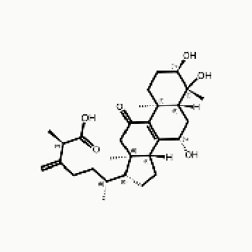 C=C(CC[C@@H](C)[C@H]1CC[C@H]2C3=C(C(=O)C[C@]12C)[C@@]1(C)CC[C@@H](O)[C@](C)(O)[C@@H]1C[C@@H]3O)[C@@H](C)C(=O)O